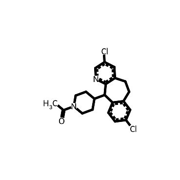 CC(=O)N1CCC(C2c3ccc(Cl)cc3CCc3cc(Cl)cnc32)CC1